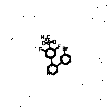 CS(=O)(=O)c1c(F)cc(-c2cnccc2-c2cccc(Br)c2)cc1F